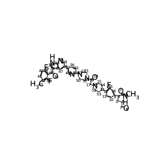 CNC(=O)C(CCC=O)c1ccc(C2CCN(CC(=O)N3CCN(c4ccc(-c5cnc6[nH]cc(C(=O)c7c(F)ccc(C)c7F)c6c5)cn4)CC3)CC2)c(F)c1